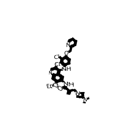 C=C(CN1CC(N(C)C)C1)C(=O)Nc1cc2c(Nc3ccc(OCc4ccccn4)c(Cl)c3)c(C#N)cnc2cc1OCC